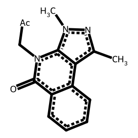 CC(=O)Cn1c(=O)c2ccccc2c2c(C)nn(C)c21